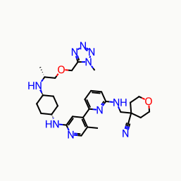 Cc1cnc(N[C@H]2CC[C@H](N[C@H](C)COCc3nnnn3C)CC2)cc1-c1cccc(NCC2(C#N)CCOCC2)n1